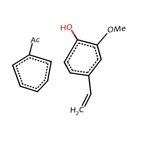 C=Cc1ccc(O)c(OC)c1.CC(=O)c1ccccc1